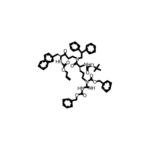 C=CCOC(=O)N[C@@H](Cc1ccc2ccccc2c1)C(=O)CCN(CC(c1ccccc1)c1ccccc1)C(=O)[C@H](CCCN(C(=N)NC(=O)OCc1ccccc1)C(=O)OCc1ccccc1)NC(=O)OC(C)(C)C